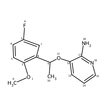 COc1ccc(F)cc1C(C)Oc1cccnc1N